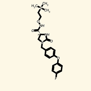 C[Si](C)(C)CCONC(=O)[C@H]1CN(Cc2ccc(Oc3ccc(F)cc3)cc2)C(=O)N1